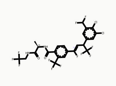 C[C@@H](NC(=O)c1ccc(/C(F)=C/C(c2cc(Cl)c(Cl)c(C(F)F)c2)C(F)(F)F)cc1C(F)(F)F)C(=O)NCC(F)(F)F